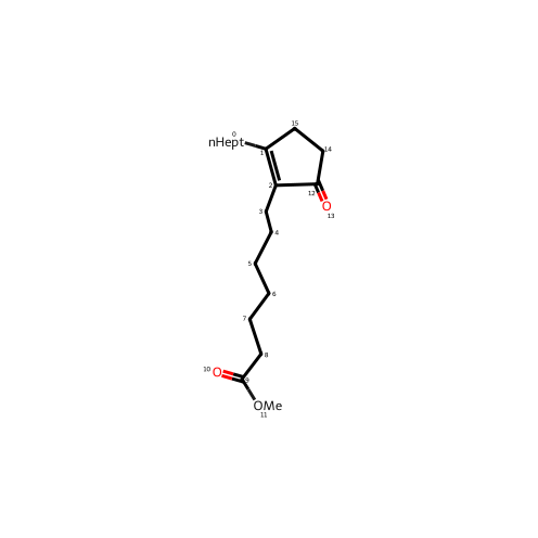 CCCCCCCC1=C(CCCCCCC(=O)OC)C(=O)CC1